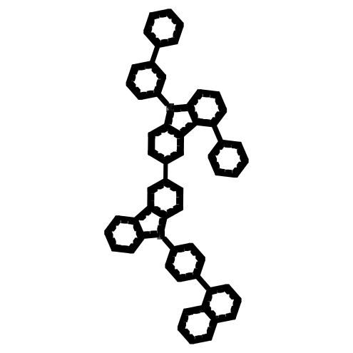 c1ccc(-c2cccc(-n3c4ccc(-c5ccc6c(c5)c5ccccc5n6-c5ccc(-c6cccc7ccccc67)cc5)cc4c4c(-c5ccccc5)cccc43)c2)cc1